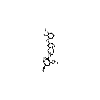 Cc1cc(C#N)cnc1N1CCc2ncc(Oc3cccc(F)c3F)cc2C1